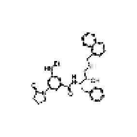 CCNc1cc(C(=O)N[C@@H](Cc2ccccc2)[C@@H](O)CNCc2ccnc3ccccc23)cc(N2CCCC2=O)c1